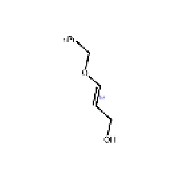 CCCCO/C=C/CO